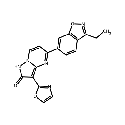 CCc1noc2cc(-c3ccn4[nH]c(=O)c(-c5ncco5)c4n3)ccc12